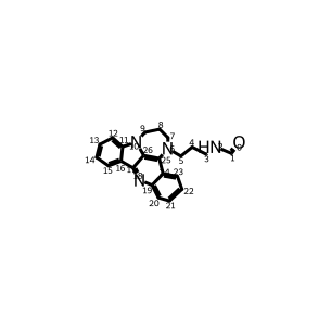 O=CNCCCN1CCCn2c3ccccc3c3nc4ccccc4c1c32